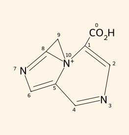 O=C(O)C1=CN=CC2=CN=C3C[N+]213